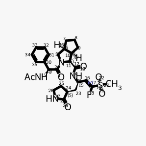 CC(=O)N[C@H](C(=O)N1C[C@H]2CCC[C@H]2[C@H]1C(=O)N[C@@H](/C=C(\F)S(C)(=O)=O)C[C@@H]1CCNC1=O)c1ccccc1